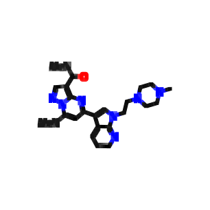 CNC(=O)c1cnn2c(NC)cc(-c3cn(CCN4CCN(C)CC4)c4ncccc34)nc12